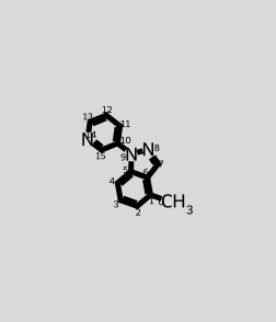 Cc1cccc2c1cnn2-c1cccnc1